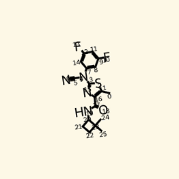 Cc1sc(N(C#N)c2cc(F)cc(F)c2)nc1C(=O)NC1CCC1(C)C